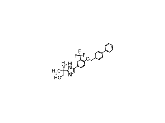 C[C@](N)(CO)c1ncc(-c2ccc(OCc3ccc(-c4ccccc4)cc3)c(C(F)(F)F)c2)[nH]1